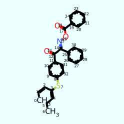 C/C=C\C(=C/CC)Sc1ccc(C(=O)/C(=N/OC(=O)c2ccccc2)c2ccccc2)cc1